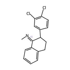 C/N=C1\c2ccccc2CCC1c1ccc(Cl)c(Cl)c1